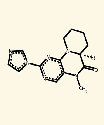 CC[C@@]12CCCCN1c1nc(-n3ccnc3)ncc1N(C)C2=O